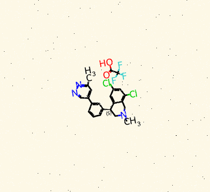 Cc1cc(-c2cccc([C@@H]3CN(C)Cc4c(Cl)cc(Cl)cc43)c2)cnn1.O=C(O)C(F)(F)F